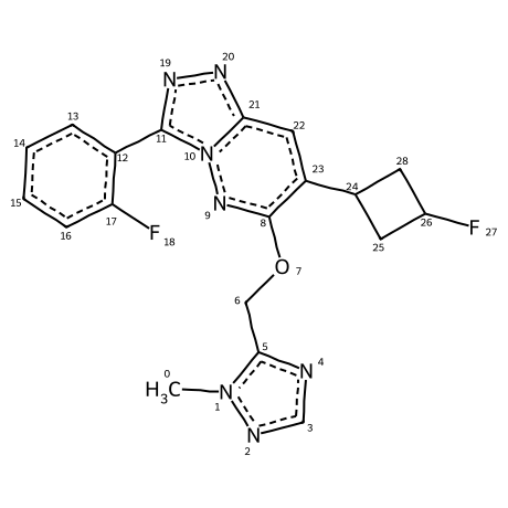 Cn1ncnc1COc1nn2c(-c3ccccc3F)nnc2cc1C1CC(F)C1